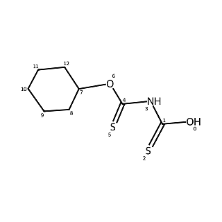 OC(=S)NC(=S)OC1CCCCC1